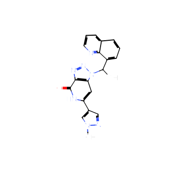 CC(c1cccc2cccnc12)n1nnc2c(=O)[nH]c(-c3cnn(C)c3)cc21